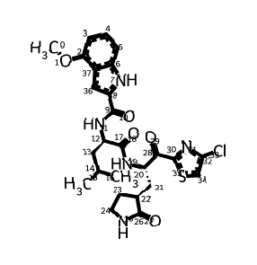 COc1cccc2[nH]c(C(=O)N[C@H](CC(C)C)C(=O)N[C@@H](C[C@@H]3CCNC3=O)C(=O)c3nc(Cl)cs3)cc12